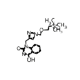 C[Si](C)(C)CCOCn1cnc(Cn2c(=O)nc(O)c3ccccc32)c1